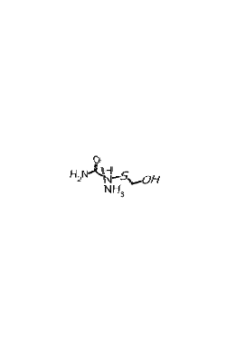 N.NC(=O)NSCO